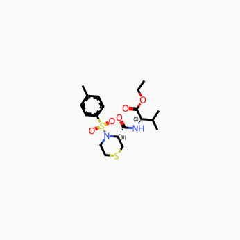 CCOC(=O)[C@@H](NC(=O)[C@@H]1CSCCN1S(=O)(=O)c1ccc(C)cc1)C(C)C